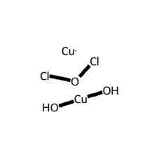 ClOCl.[Cu].[OH][Cu][OH]